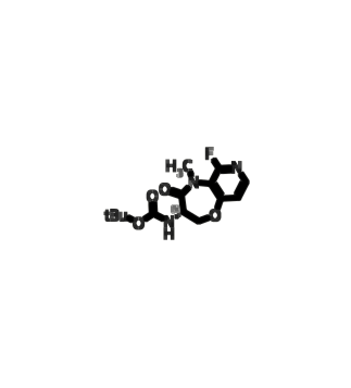 CN1C(=O)[C@@H](NC(=O)OC(C)(C)C)COc2ccnc(F)c21